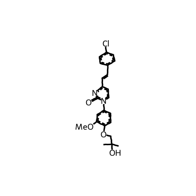 COc1cc(-n2ccc(/C=C/c3ccc(Cl)cc3)nc2=O)ccc1OCC(C)(C)O